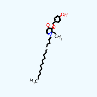 CCCCCCCCCCCCCCCCC=Cn1ccc(=O)c(OCc2ccc(O)cc2)c1CC